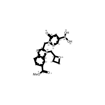 COC(=O)c1ccc2nc(Cn3ncc(B(O)O)cc3=O)n(CC3CCO3)c2c1